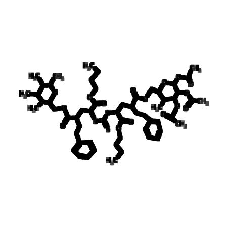 CCCCOC(=O)C(CC(CCc1ccccc1)C(=O)OCC1OC(C)C(C)C(C)C1C)SC(=S)SC(CC(CCc1ccccc1)C(=O)OCC1OC(OC(C)=O)C(OC(C)=O)C(OC(C)=O)C1C)C(=O)OCCCC